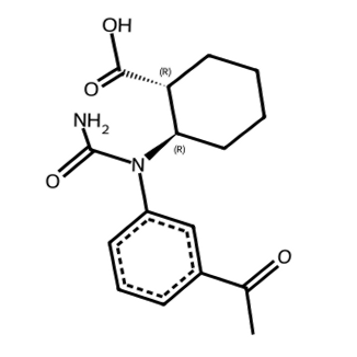 CC(=O)c1cccc(N(C(N)=O)[C@@H]2CCCC[C@H]2C(=O)O)c1